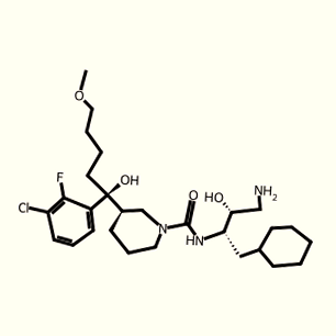 COCCCC[C@@](O)(c1cccc(Cl)c1F)[C@@H]1CCCN(C(=O)N[C@@H](CC2CCCCC2)[C@H](O)CN)C1